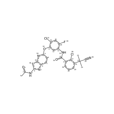 CC(=O)Nc1nc2ccc(Oc3cc(NC(=O)c4cccc(C(C)(C)C#N)c4Cl)c(F)cc3Cl)nc2s1